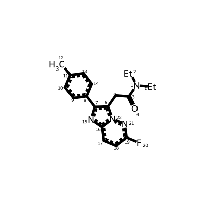 CCN(CC)C(=O)Cc1c(-c2ccc(C)cc2)nc2ccc(F)nn12